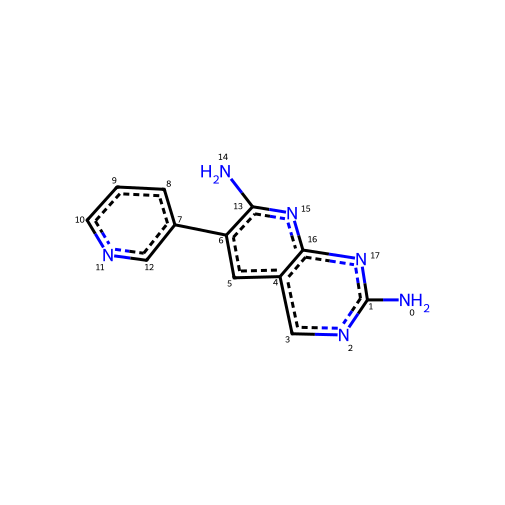 Nc1ncc2cc(-c3cccnc3)c(N)nc2n1